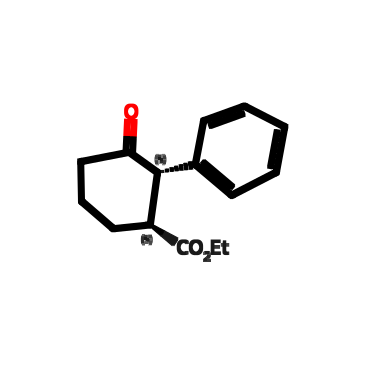 CCOC(=O)[C@H]1CCCC(=O)[C@@H]1c1ccccc1